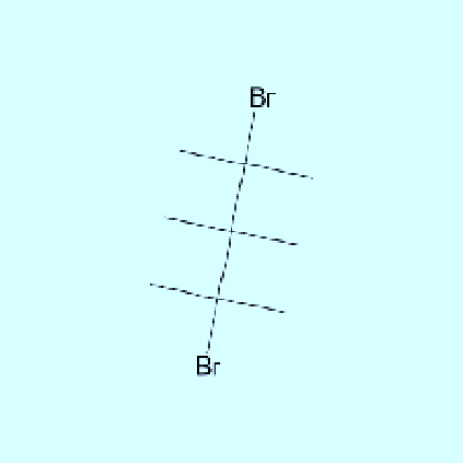 CC(C)(Br)C(C)(C)C(C)(C)Br